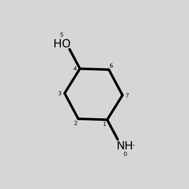 [NH]C1CCC(O)CC1